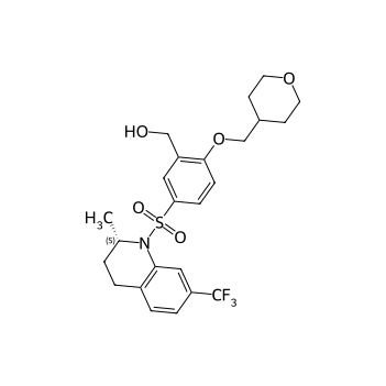 C[C@H]1CCc2ccc(C(F)(F)F)cc2N1S(=O)(=O)c1ccc(OCC2CCOCC2)c(CO)c1